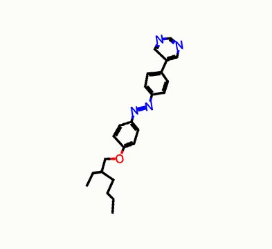 CCCCC(CC)COc1ccc(N=Nc2ccc(-c3cncnc3)cc2)cc1